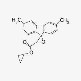 Cc1ccc(C2(c3ccc(C)cc3)OC2C(=O)OC2CC2)cc1